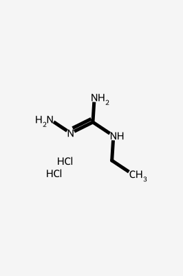 CCNC(N)=NN.Cl.Cl